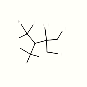 CCC(C)(CC)C(C(F)(F)F)C(F)(F)F